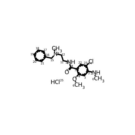 CNc1cc(OC)c(C(=O)NCCN(C)Cc2ccccc2)cc1Cl.Cl